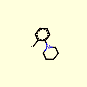 [CH2]c1ccccc1N1CCCCC1